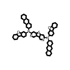 c1ccc2cc3cc(N(c4ccc5c(c4)oc4ccccc45)c4cc5sc6cc(N(c7ccc8cc9ccccc9cc8c7)c7ccc8c(c7)oc7ccccc78)ncc6c5cn4)ccc3cc2c1